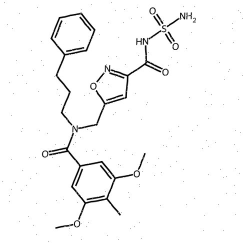 COc1cc(C(=O)N(CCCc2ccccc2)Cc2cc(C(=O)NS(N)(=O)=O)no2)cc(OC)c1C